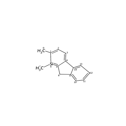 Cc1ccc2c([si]1C)Cc1ccccc1-2